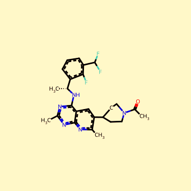 CC(=O)N1CCC(c2cc3c(N[C@H](C)c4cccc(C(F)F)c4F)nc(C)nc3nc2C)CC1